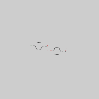 O=C(O)c1ccc(OC(=O)c2ccc(Cl)cc2)cc1